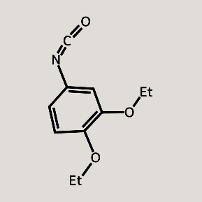 CCOc1ccc(N=C=O)cc1OCC